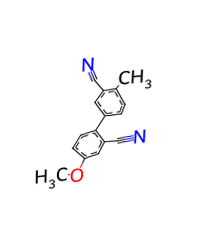 COc1ccc(-c2ccc(C)c(C#N)c2)c(C#N)c1